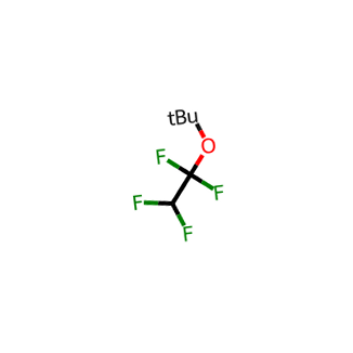 CC(C)(C)OC(F)(F)C(F)F